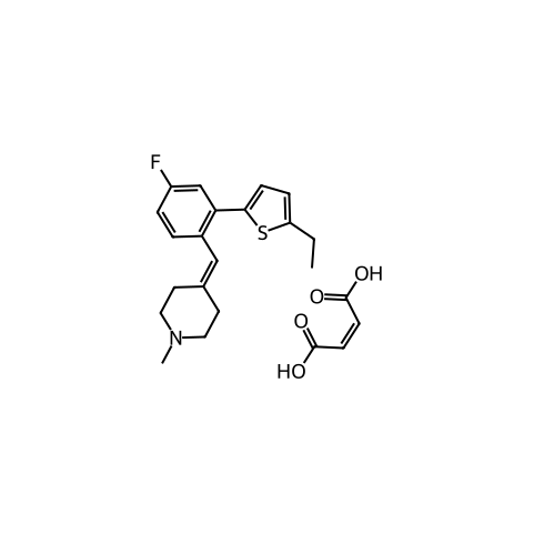 CCc1ccc(-c2cc(F)ccc2C=C2CCN(C)CC2)s1.O=C(O)/C=C\C(=O)O